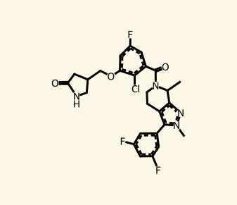 CC1c2nn(C)c(-c3cc(F)cc(F)c3)c2CCN1C(=O)c1cc(F)cc(OCC2CNC(=O)C2)c1Cl